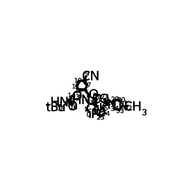 CC(C)C[C@@H](NC(=O)c1cc(C#N)ccc1OCC(=O)NC(C)(C)C)C(=O)N1CCC[C@@H]1C(=O)N1CCN(C)CC1